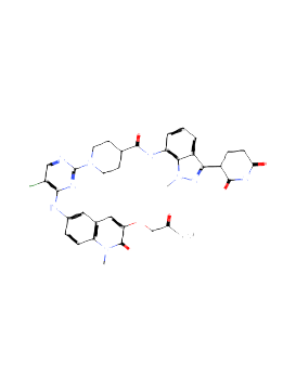 CNC(=O)COc1cc2cc(Nc3nc(N4CCC(C(=O)Nc5cccc6c(C7CCC(=O)NC7=O)nn(C)c56)CC4)ncc3Cl)ccc2n(C)c1=O